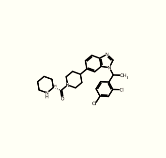 CC(c1ccc(Cl)cc1Cl)n1cnc2ccc(C3CCN(C(=O)[C@H]4CCCCN4)CC3)cc21